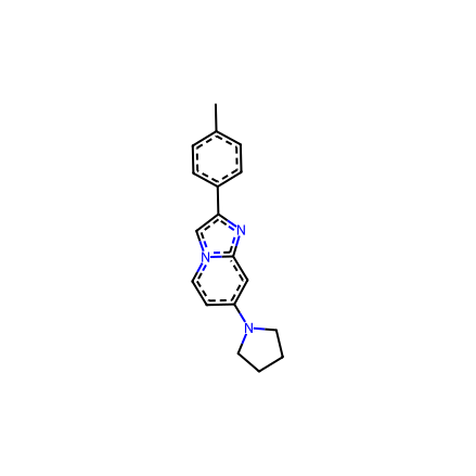 Cc1ccc(-c2cn3ccc(N4CCCC4)cc3n2)cc1